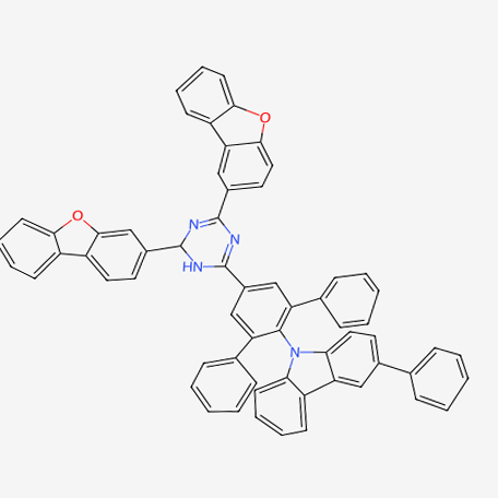 c1ccc(-c2ccc3c(c2)c2ccccc2n3-c2c(-c3ccccc3)cc(C3=NC(c4ccc5oc6ccccc6c5c4)=NC(c4ccc5c(c4)oc4ccccc45)N3)cc2-c2ccccc2)cc1